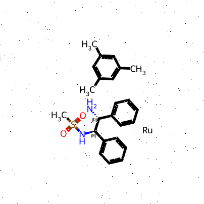 CS(=O)(=O)N[C@H](c1ccccc1)[C@H](N)c1ccccc1.Cc1cc(C)cc(C)c1.[Ru]